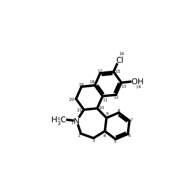 CN1CCC2C=CC=CC2C2c3cc(O)c(Cl)cc3CCC21